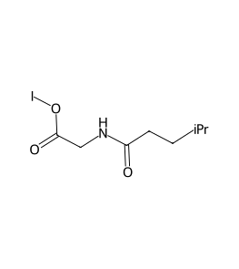 CC(C)CCC(=O)NCC(=O)OI